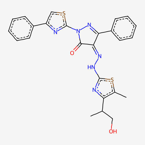 Cc1sc(N/N=C2\C(=O)N(c3nc(-c4ccccc4)cs3)N=C2c2ccccc2)nc1C(C)CO